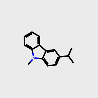 CC(C)c1ccc2c(c1)c1ccccc1n2C